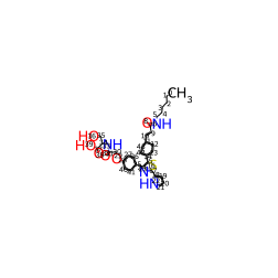 CCCCCCNC(=O)/C=C/c1ccc(-c2sc(-c3ccc[nH]3)nc2-c2ccc(OCC(=O)N[C@H](CO)C(=O)O)cc2)cc1